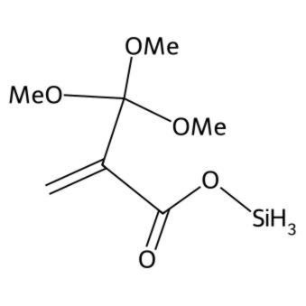 C=C(C(=O)O[SiH3])C(OC)(OC)OC